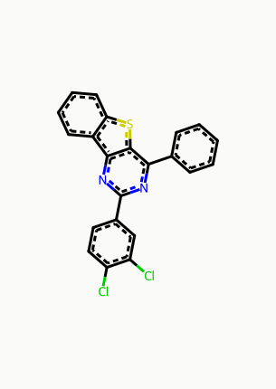 Clc1ccc(-c2nc(-c3ccccc3)c3sc4ccccc4c3n2)cc1Cl